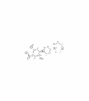 COc1cc(N2CCC(N3CCCOCC3)CC2)c(Br)cc1[N+](=O)[O-]